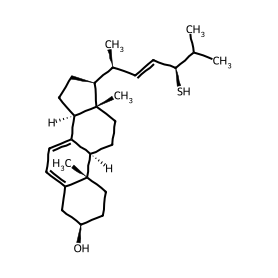 CC(C)[C@@H](S)/C=C/[C@H](C)[C@@H]1CC[C@@H]2C3=CC=C4C[C@H](O)CC[C@@]4(C)[C@@H]3CC[C@]21C